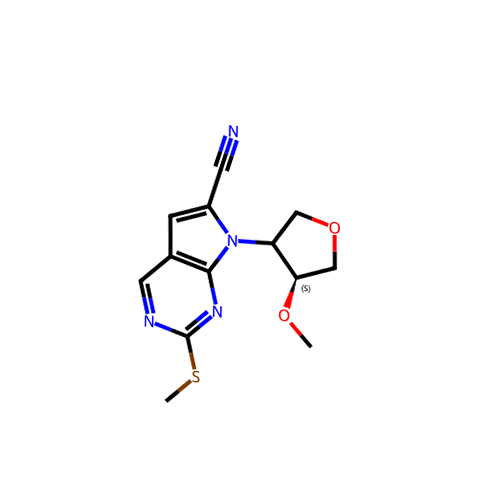 CO[C@@H]1COCC1n1c(C#N)cc2cnc(SC)nc21